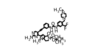 CCN1CCN(Cc2ccc(NC(=O)Nc3cccc(C#Cc4cnc(N)nc4-c4cc5c(n4C)CCN(C(=O)OC(C)(C)C)C5=O)c3)cc2C(F)F)CC1